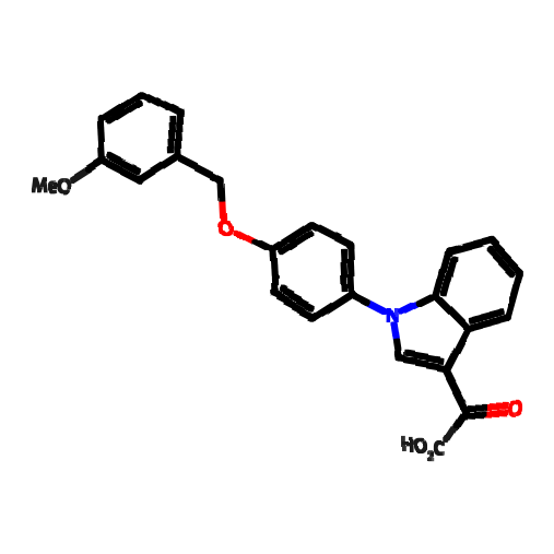 COc1cccc(COc2ccc(-n3cc(C(=O)C(=O)O)c4ccccc43)cc2)c1